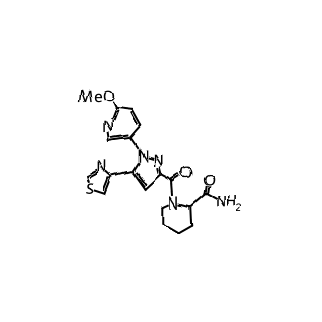 COc1ccc(-n2nc(C(=O)N3CCCCC3C(N)=O)cc2-c2cscn2)cn1